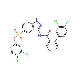 O=C(Nc1n[nH]c2ccc(S(=O)(=O)Oc3ccc(Cl)c(Cl)c3)cc12)c1ccccc1-c1ccc(Cl)c(Cl)c1